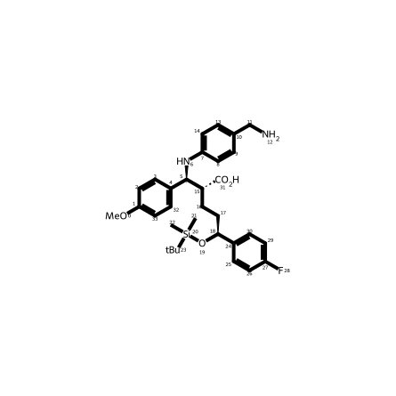 COc1ccc([C@@H](Nc2ccc(CN)cc2)[C@@H](CC[C@H](O[Si](C)(C)C(C)(C)C)c2ccc(F)cc2)C(=O)O)cc1